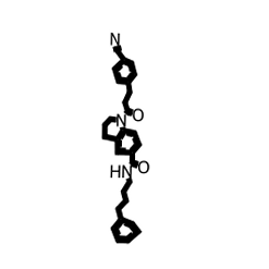 N#Cc1ccc(CCC(=O)N2CCCc3cc(C(=O)NCCCCc4ccccc4)ccc32)cc1